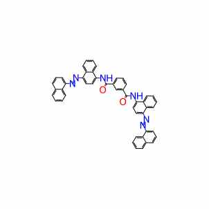 O=C(Nc1ccc(/N=N/c2cccc3ccccc23)c2ccccc12)c1cccc(C(=O)Nc2ccc(/N=N/c3cccc4ccccc34)c3ccccc23)c1